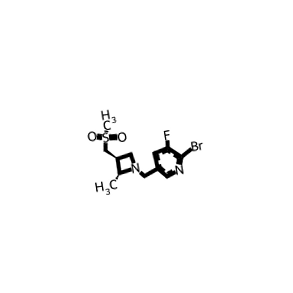 C[C@@H]1[C@@H](CS(C)(=O)=O)CN1Cc1cnc(Br)c(F)c1